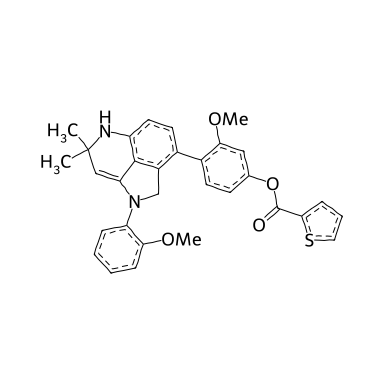 COc1cc(OC(=O)c2cccs2)ccc1-c1ccc2c3c1CN(c1ccccc1OC)C3=CC(C)(C)N2